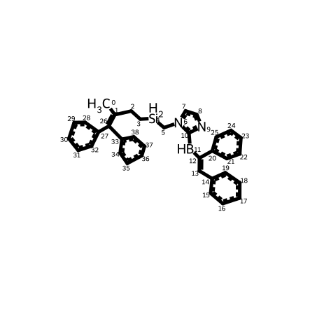 CC(CC[SiH2]Cn1ccnc1BC(=Cc1ccccc1)c1ccccc1)=C(c1ccccc1)c1ccccc1